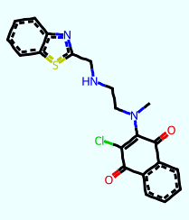 CN(CCNCc1nc2ccccc2s1)C1=C(Cl)C(=O)c2ccccc2C1=O